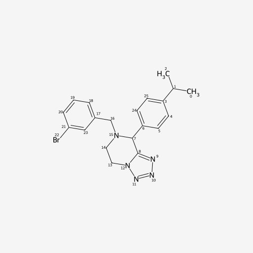 CC(C)c1ccc(C2c3nnnn3CCN2Cc2cccc(Br)c2)cc1